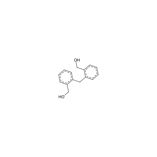 OCc1ccccc1Cc1ccccc1CO